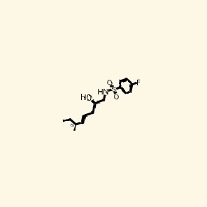 CC[C@H](C)C=CCC(O)CNS(=O)(=O)c1ccc(F)cc1